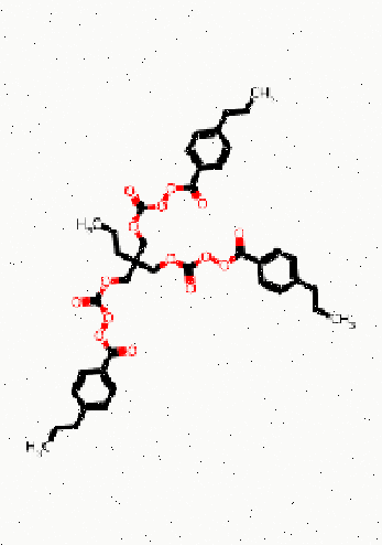 CCCc1ccc(C(=O)OOC(=O)OCC(CCC)(COC(=O)OOC(=O)c2ccc(CCC)cc2)COC(=O)OOC(=O)c2ccc(CCC)cc2)cc1